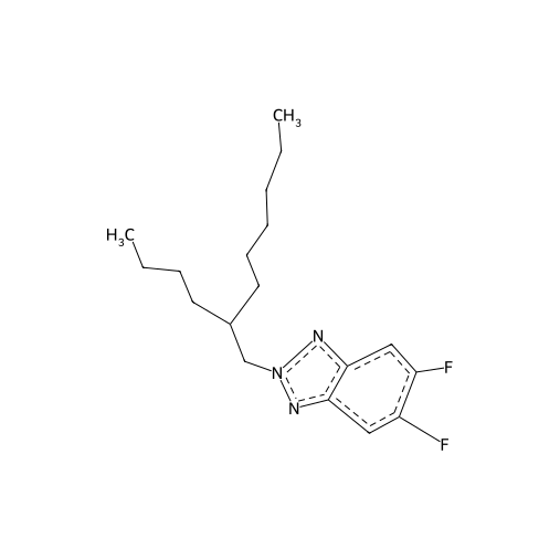 CCCCCCC(CCCC)Cn1nc2cc(F)c(F)cc2n1